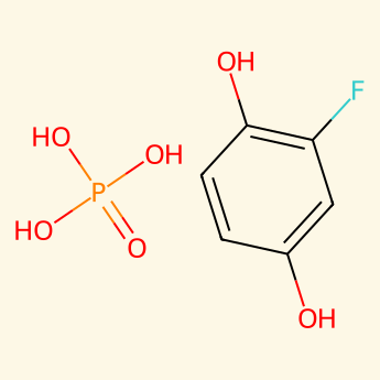 O=P(O)(O)O.Oc1ccc(O)c(F)c1